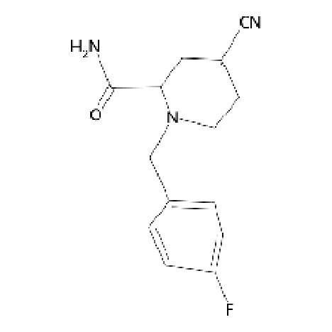 N#C[C]1CCN(Cc2ccc(F)cc2)C(C(N)=O)C1